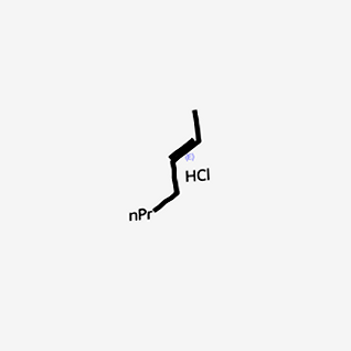 C/C=C/CCCC.Cl